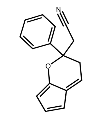 N#CCC1(c2ccccc2)CC=C2C=CC=C2O1